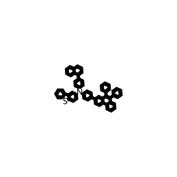 c1ccc(-c2c(-c3ccccc3)c3cc(-c4ccc(N(c5ccc(-c6cccc7ccccc67)cc5)c5ccc6sc7ccccc7c6c5)cc4)ccc3c3ccccc23)cc1